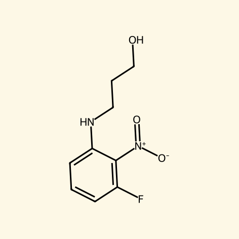 O=[N+]([O-])c1c(F)cccc1NCCCO